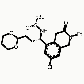 CCN1Cc2cc(Cl)cc([C@H](CCC3OCCCO3)N[S@@+]([O-])C(C)(C)C)c2CC1=O